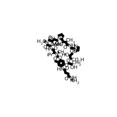 CCC(C)[C@@H]([C@@H](CC(=O)N1CCC[C@H]1[C@H](OC)[C@@H](C)C(=O)NCc1nccs1)OC)N(C)C(=O)CNC(=O)[C@H](C(C)C)N(C)C(=O)OCc1ccc(O[C@H](OC(C(=O)O)[C@@H](O)CO)[C@H](C)O)c(NC(=O)CCC(=O)NN)c1